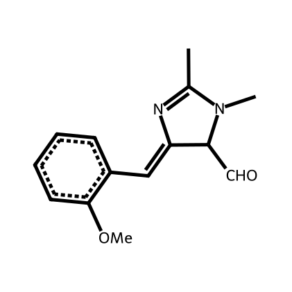 COc1ccccc1C=C1N=C(C)N(C)C1C=O